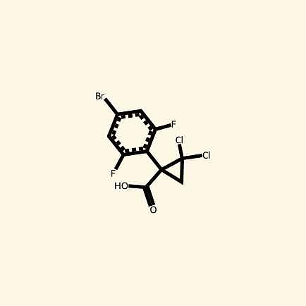 O=C(O)C1(c2c(F)cc(Br)cc2F)CC1(Cl)Cl